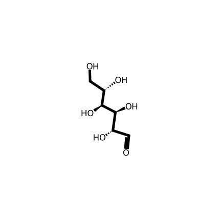 O=C[C@H](O)[C@H](O)[C@@H](O)[C@@H](O)CO